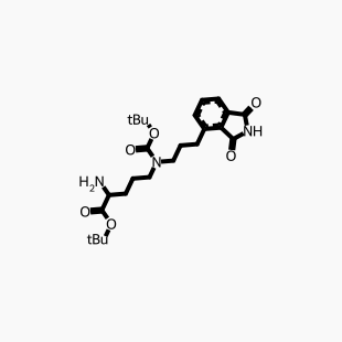 CC(C)(C)OC(=O)C(N)CCCN(CCCc1cccc2c1C(=O)NC2=O)C(=O)OC(C)(C)C